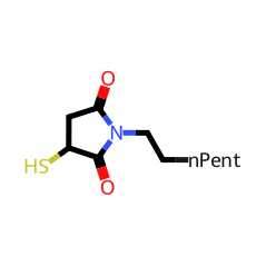 CCCCCCCN1C(=O)CC(S)C1=O